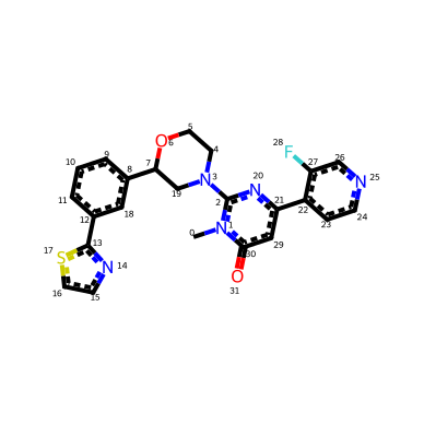 Cn1c(N2CCOC(c3cccc(-c4nccs4)c3)C2)nc(-c2ccncc2F)cc1=O